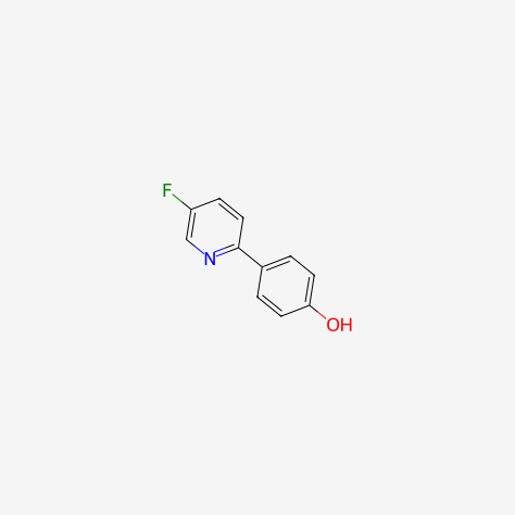 Oc1ccc(-c2ccc(F)cn2)cc1